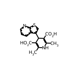 CC1=C(C(=O)O)C(c2csc3ncccc23)C(C(=O)O)=C(C)N1